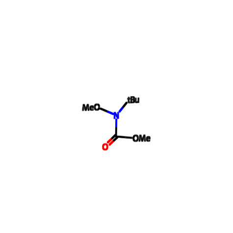 COC(=O)N(OC)C(C)(C)C